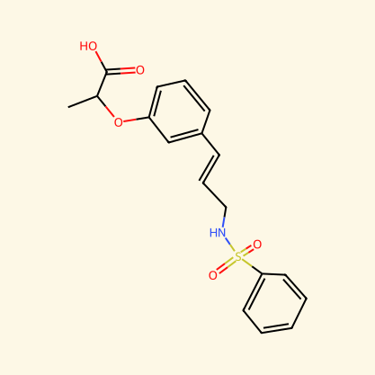 CC(Oc1cccc(C=CCNS(=O)(=O)c2ccccc2)c1)C(=O)O